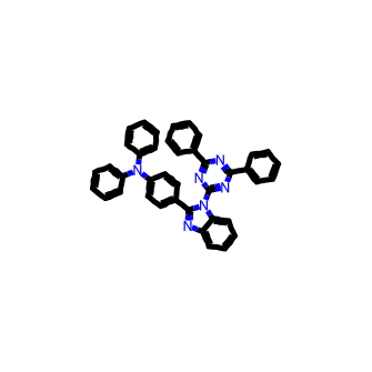 c1ccc(-c2nc(-c3ccccc3)nc(-n3c(-c4ccc(N(c5ccccc5)c5ccccc5)cc4)nc4ccccc43)n2)cc1